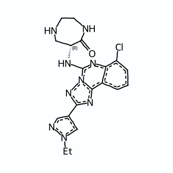 CCn1cc(-c2nc3c4cccc(Cl)c4nc(N[C@@H]4CNCCNC4=O)n3n2)cn1